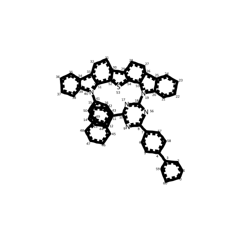 c1ccc(-c2ccc(-c3nc(-c4ccccc4)nc(-n4c5ccccc5c5ccc6c7ccc8c9ccccc9n(-c9ccc%10ccccc%10c9)c8c7sc6c54)n3)cc2)cc1